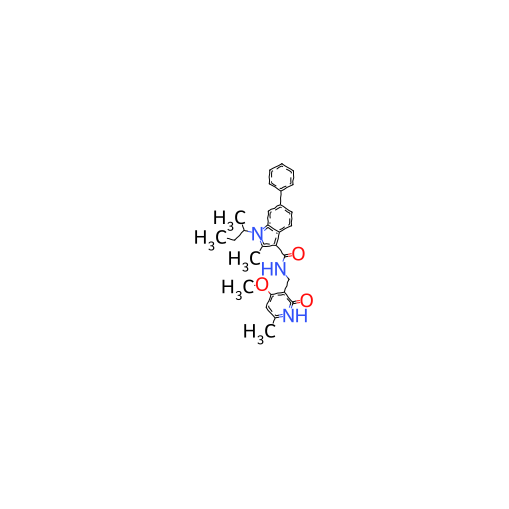 CCC(C)n1c(C)c(C(=O)NCc2c(OC)cc(C)[nH]c2=O)c2ccc(-c3ccccc3)cc21